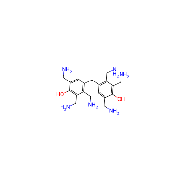 NCc1cc(Cc2cc(CN)c(O)c(CN)c2CN)c(CN)c(CN)c1O